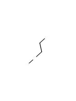 OC[CH2][Au][Cl]